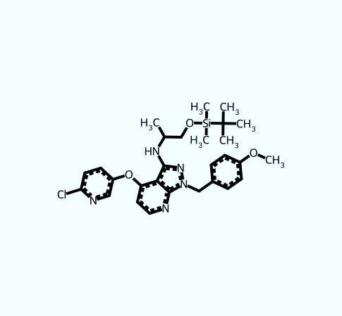 COc1ccc(Cn2nc(NC(C)CO[Si](C)(C)C(C)(C)C)c3c(Oc4ccc(Cl)nc4)ccnc32)cc1